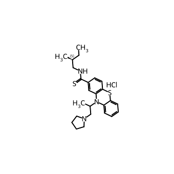 CC[C@H](C)CNC(=S)c1ccc2c(c1)N(C(C)CN1CCCC1)c1ccccc1S2.Cl